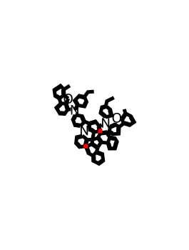 CCc1ccc(N(c2ccc3c(c2)c2cc(N(c4ccc(CC)cc4)c4cccc5c4oc4c(C)cccc45)cc4c2n3-c2ccccc2C42c3ccc4ccccc4c3-c3c2ccc2ccccc32)c2cccc3c2oc2c(C)cccc23)cc1